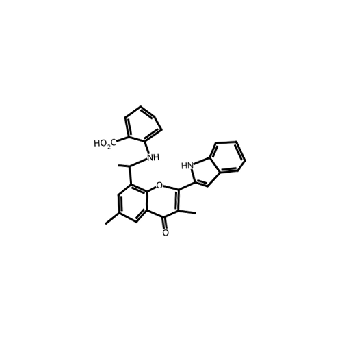 Cc1cc(C(C)Nc2ccccc2C(=O)O)c2oc(-c3cc4ccccc4[nH]3)c(C)c(=O)c2c1